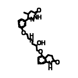 CC1CC(=O)NN=C1c1cccc(OCCNCC(O)COc2cccc3c2CCC(=O)N3)c1